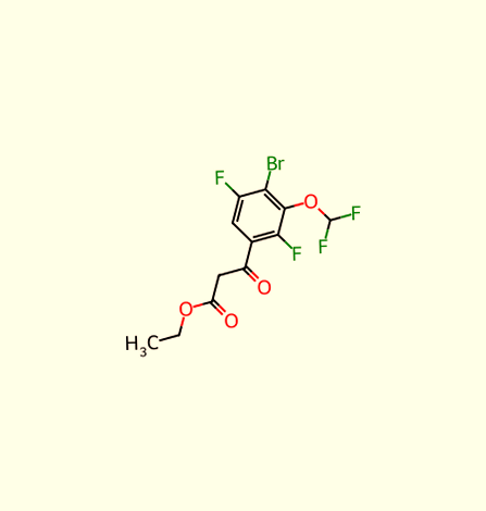 CCOC(=O)CC(=O)c1cc(F)c(Br)c(OC(F)F)c1F